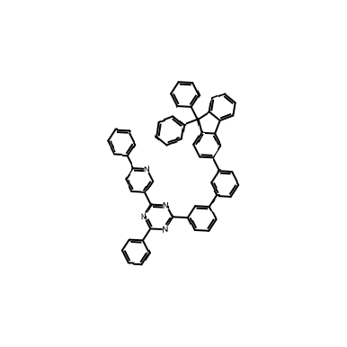 c1ccc(-c2ccc(-c3nc(-c4ccccc4)nc(-c4cccc(-c5cccc(-c6ccc7c(c6)-c6ccccc6C7(c6ccccc6)c6ccccc6)c5)c4)n3)cn2)cc1